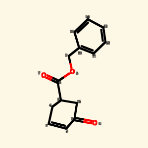 O=C1C=CCC(C(=O)OCc2ccccc2)C1